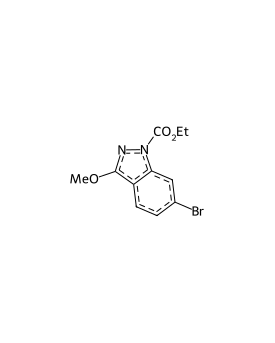 CCOC(=O)n1nc(OC)c2ccc(Br)cc21